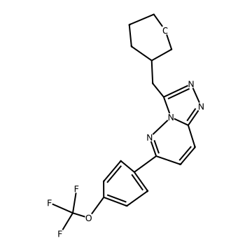 FC(F)(F)Oc1ccc(-c2ccc3nnc(CC4CCCCC4)n3n2)cc1